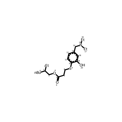 CCCCC(CC)COC(=O)CCSc1ccc(CN(CC)CC)cc1O